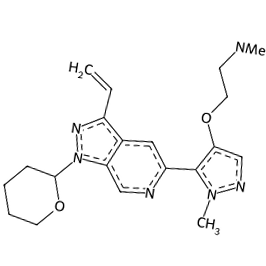 C=Cc1nn(C2CCCCO2)c2cnc(-c3c(OCCNC)cnn3C)cc12